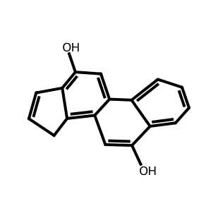 Oc1cc2c(cc(O)c3ccccc32)c2c1C=CC2